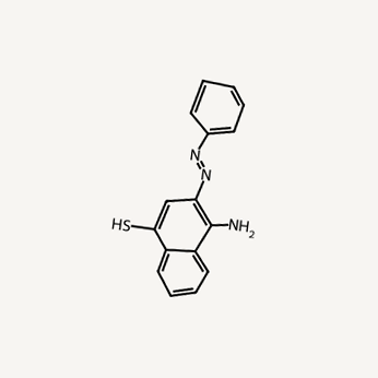 Nc1c(N=Nc2ccccc2)cc(S)c2ccccc12